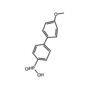 COc1ccc(-c2ccc([PH](=O)O)cc2)cc1